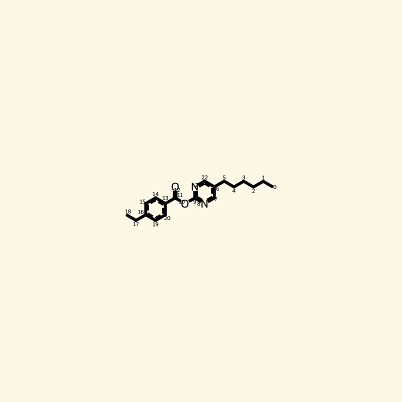 CCCCCCc1cnc(OC(=O)c2ccc(CC)cc2)nc1